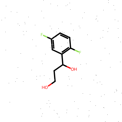 OCCC(O)c1cc(F)ccc1F